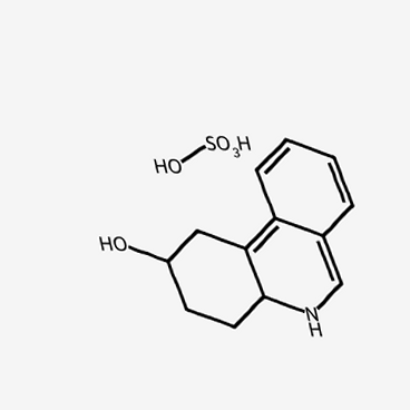 O=S(=O)(O)O.OC1CCC2NC=c3ccccc3=C2C1